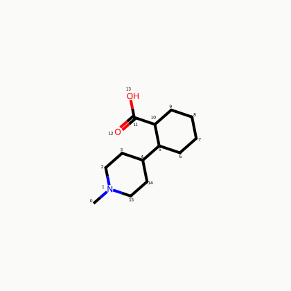 CN1CCC(C2CCCCC2C(=O)O)CC1